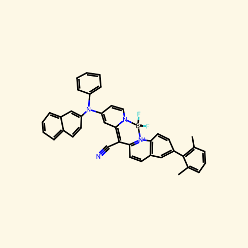 Cc1cccc(C)c1-c1ccc2c(ccc3[n+]2[B-](F)(F)N2C=CC(N(c4ccccc4)c4ccc5ccccc5c4)=CC2=C3C#N)c1